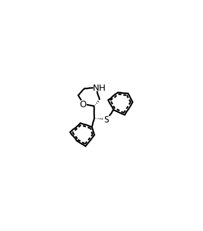 c1ccc(S[C@H](c2ccccc2)[C@H]2CNCCO2)cc1